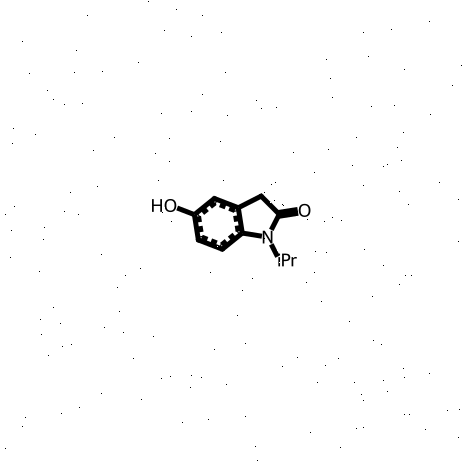 CC(C)N1C(=O)Cc2cc(O)ccc21